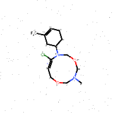 CN1COC/C=C(/Cl)N(C2CCC=C(C(F)(F)F)C2)COC1